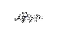 CC(C)(C)OC(=O)NCc1cc(F)cc(/C(C=N)=C/Nc2ccc(Br)cc2S(C)(=O)=O)c1